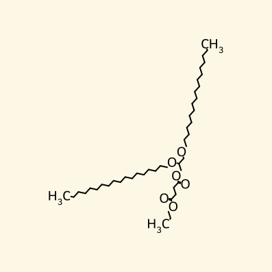 CCCCCCCCCCCCCCCCCCOCC(COC(=O)CCC(=O)OCCC)OCCCCCCCCCCCCCCCCCC